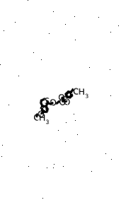 CCOc1ccc2c(c1)CCCSC2COCCOS(=O)(=O)c1ccc(CC)cc1